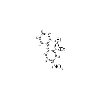 CCOCC.O=[N+]([O-])c1ccc(-c2ccccc2)cc1